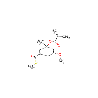 C=C(C)C(=O)OC1(C)CC(OC)CC(C(=O)SC)C1